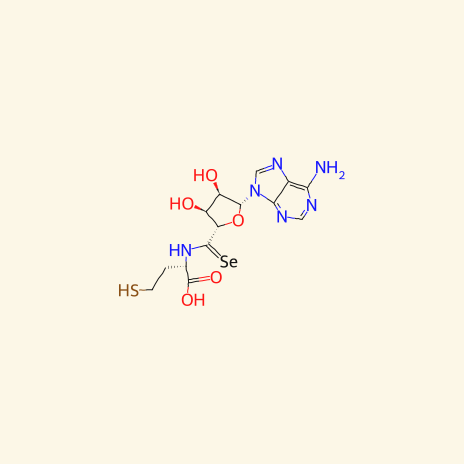 Nc1ncnc2c1ncn2[C@@H]1O[C@H](C(=[Se])N[C@@H](CCS)C(=O)O)[C@@H](O)[C@H]1O